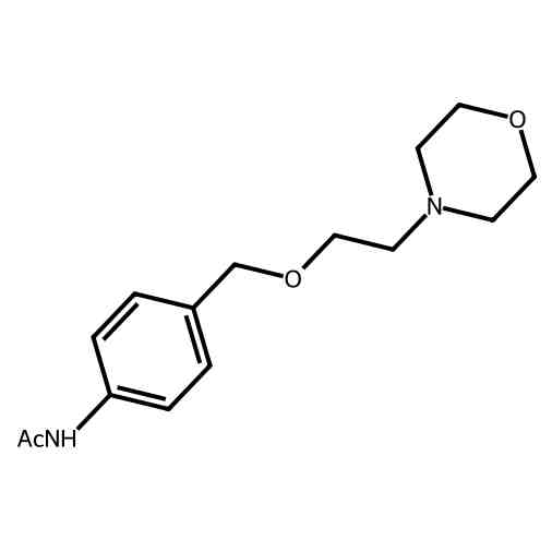 CC(=O)Nc1ccc(COCCN2CCOCC2)cc1